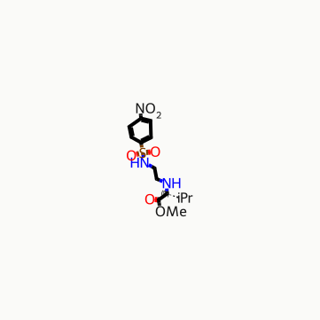 COC(=O)[C@H](NCCNS(=O)(=O)c1ccc([N+](=O)[O-])cc1)C(C)C